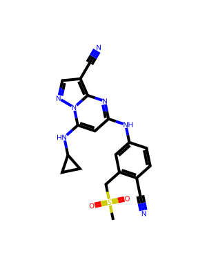 CS(=O)(=O)Cc1cc(Nc2cc(NC3CC3)n3ncc(C#N)c3n2)ccc1C#N